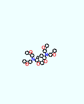 c1ccc2c(c1)oc1ccc(N(c3ccc4oc5ccccc5c4c3)c3cc4oc5ccc6oc7cc(N(c8ccc9oc%10ccccc%10c9c8)c8ccc9oc%10ccccc%10c9c8)c8ccccc8c7c6c5c4c4ccccc34)cc12